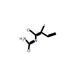 C=C/C(I)=C(Cl)\N=C(/N)Cl